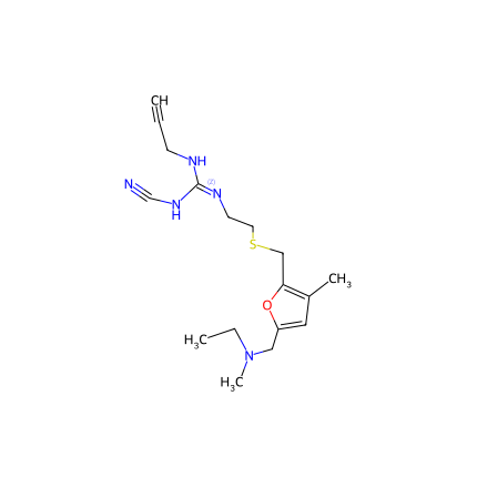 C#CCN/C(=N/CCSCc1oc(CN(C)CC)cc1C)NC#N